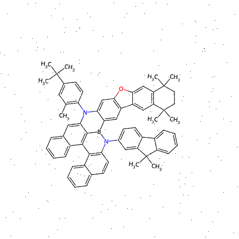 Cc1cc(C(C)(C)C)ccc1N1c2cc3oc4cc5c(cc4c3cc2B2c3c1cc1ccccc1c3-c1c(ccc3ccccc13)N2c1ccc2c(c1)C(C)(C)c1ccccc1-2)C(C)(C)CCC5(C)C